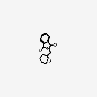 O=C1c2ccccc2C(=O)N1CC1CCCCO1